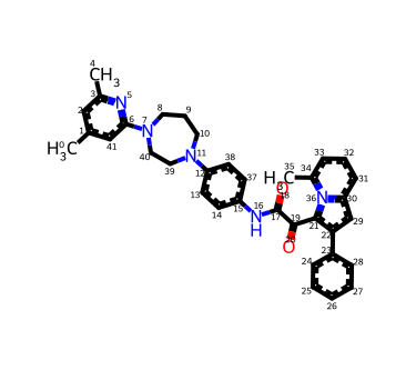 Cc1cc(C)nc(N2CCCN(c3ccc(NC(=O)C(=O)c4c(-c5ccccc5)cc5cccc(C)n45)cc3)CC2)c1